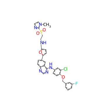 Cn1ccnc1S(=O)(=O)CCNCc1ccc(-c2ccc3ncnc(Nc4ccc(OCc5cccc(F)c5)c(Cl)c4)c3c2)o1